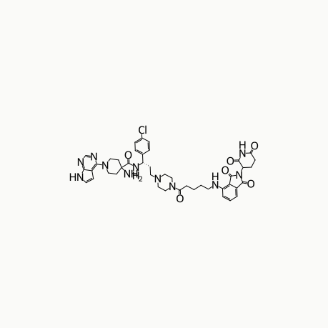 NC1(C(=O)N[C@@H](CCN2CCN(C(=O)CCCCNc3cccc4c3C(=O)N(C3CCC(=O)NC3=O)C4=O)CC2)c2ccc(Cl)cc2)CCN(c2ncnc3[nH]ccc23)CC1